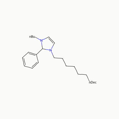 CCCCCCCCCCCCCCCCN1C=CN(CCCC)C1c1ccccc1